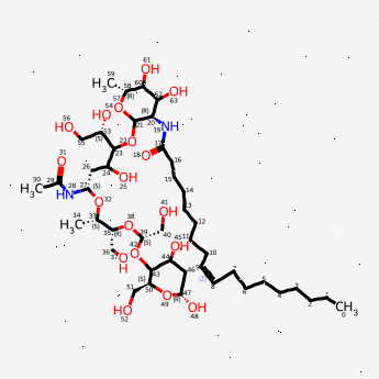 CCCCCCCC/C=C\CCCCCCCC(=O)N[C@H]1C(OC(C(O)C[C@@H](NC(C)=O)O[C@@H](C)[C@@H](CO)O[C@H](CO)OC2C(O)C[C@H](O)O[C@H]2CO)[C@@H](O)CO)O[C@H](C)C(O)C1O